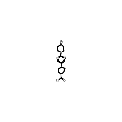 CCC(=O)[C@H]1CC[C@@H](c2cnc(N3CCC(C(C)C)CC3)nc2)CC1